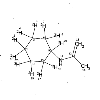 [2H]C1([2H])C([2H])([2H])C([2H])([2H])C([2H])(NC(=C)C)C([2H])([2H])C1([2H])[2H]